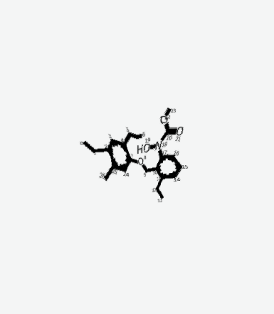 CCc1cc(CC)c(OCc2c(CC)cccc2N(O)C(=O)OC)cc1C